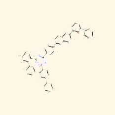 c1ccc(-c2ccc(-c3nc(-c4ccc(-c5ccc6cc(-c7cccc8c7oc7ccccc78)ccc6c5)cc4)nc(-c4ccccc4-c4ccccc4)n3)cc2)cc1